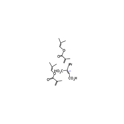 C=C(C)C(=O)OC=C(C)C.C=C(C)C(=O)OC=C(C)C.CC(C)/C(=C/C(=O)O)C(=O)O